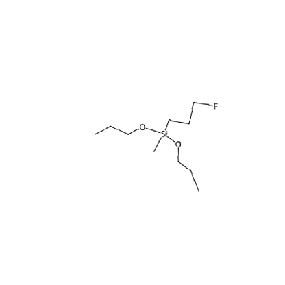 CCCO[Si](C)(CCCF)OCCC